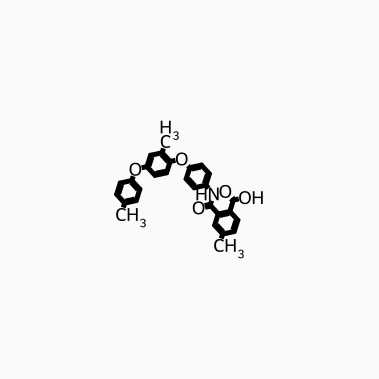 Cc1ccc(Oc2ccc(Oc3ccc(NC(=O)c4cc(C)ccc4C(=O)O)cc3)c(C)c2)cc1